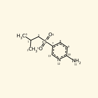 CC(C)CS(=O)(=O)c1ccc(N)nc1